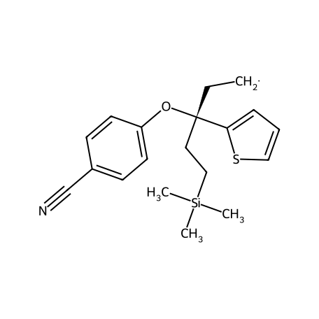 [CH2]C[C@@](CC[Si](C)(C)C)(Oc1ccc(C#N)cc1)c1cccs1